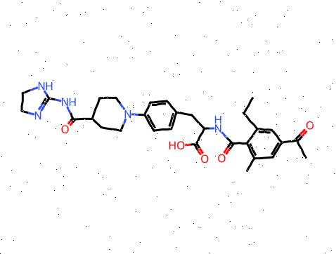 CCc1cc(C(C)=O)cc(C)c1C(=O)NC(Cc1ccc(N2CCC(C(=O)NC3=NCCN3)CC2)cc1)C(=O)O